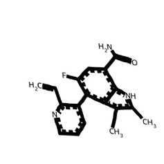 C=Cc1ncccc1-c1c(F)cc(C(N)=O)c2[nH]c(C)c(C)c12